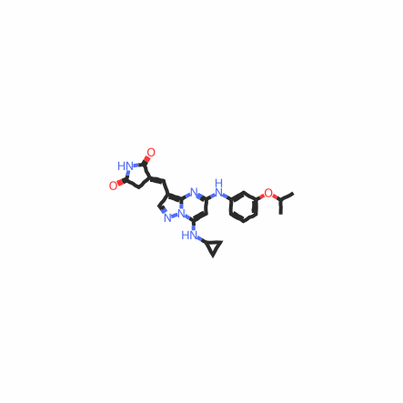 CC(C)Oc1cccc(Nc2cc(NC3CC3)n3ncc(C=C4CC(=O)NC4=O)c3n2)c1